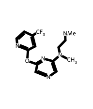 CNCCN(C)c1cncc(Oc2cc(C(F)(F)F)ccn2)n1